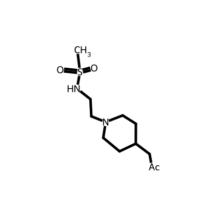 CC(=O)CC1CCN(CCNS(C)(=O)=O)CC1